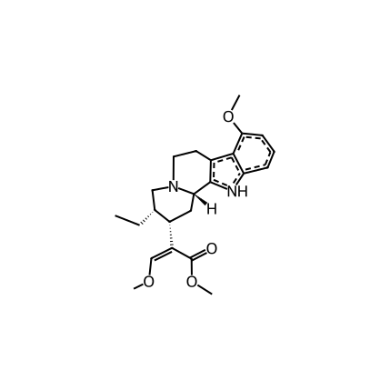 CC[C@@H]1CN2CCc3c([nH]c4cccc(OC)c34)[C@@H]2C[C@@H]1/C(=C/OC)C(=O)OC